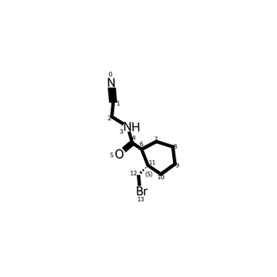 N#CCNC(=O)C1CCCC[C@@H]1CBr